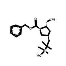 CC(C)(C[C@@H]1C[C@@H](CO)N(C(=O)OCc2ccccc2)C1)[Si](C)(C)O